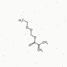 C=C(C)C(=O)OCOOCC